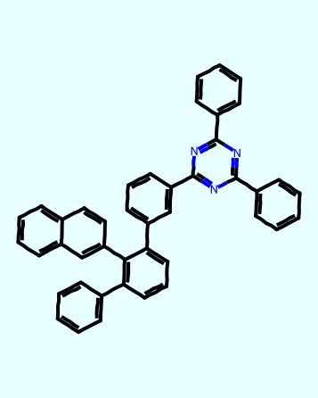 c1ccc(-c2nc(-c3ccccc3)nc(-c3cccc(-c4cccc(-c5ccccc5)c4-c4ccc5ccccc5c4)c3)n2)cc1